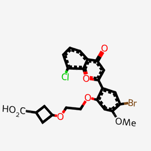 COc1cc(OCCOC2CC(C(=O)O)C2)c(-c2cc(=O)c3cccc(Cl)c3o2)cc1Br